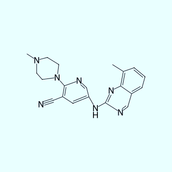 Cc1cccc2cnc(Nc3cnc(N4CCN(C)CC4)c(C#N)c3)nc12